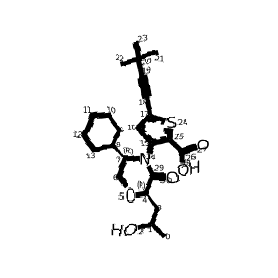 CC(O)C[C@H]1OC[C@@H](C2CCCCC2)N(c2cc(C#CC(C)(C)C)sc2C(=O)O)C1=O